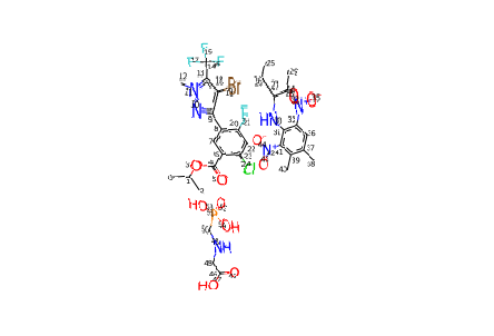 CC(C)OC(=O)c1cc(-c2nn(C)c(C(F)(F)F)c2Br)c(F)cc1Cl.CCC(CC)Nc1c([N+](=O)[O-])cc(C)c(C)c1[N+](=O)[O-].O=C(O)CNCP(=O)(O)O